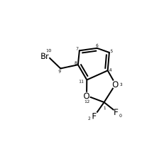 FC1(F)Oc2cccc(CBr)c2O1